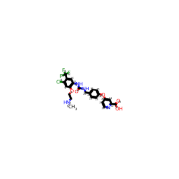 CNCCOc1cc(Cl)c(C(F)(F)F)cc1NC(=O)NCc1ccc(Oc2ccnc(C(=O)O)c2)cc1